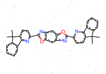 CC1(C)c2ccccc2-c2nc(-c3nc4cc5oc(-c6ccc7c(n6)-c6ccccc6C7(C)C)nc5cc4o3)ccc21